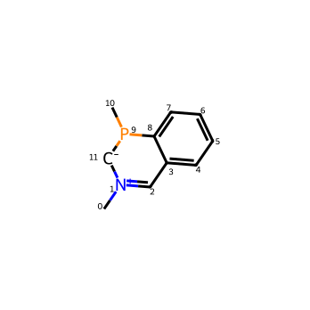 C[N+]1=Cc2ccccc2P(C)[CH-]1